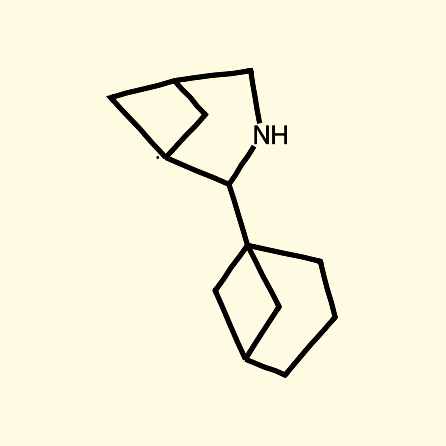 C1CC2CC(C3NCC4C[C]3C4)(C1)C2